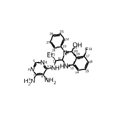 CC[C@H](Nc1ncnc(N)c1N)C1Nc2cccc(F)c2C(O)N1c1ccccc1